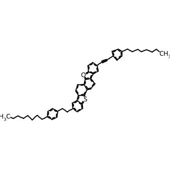 CCCCCCCCc1ccc(C#Cc2ccc3oc4c(ccc5c4ccc4c6cc(CCc7ccc(CCCCCCCC)cc7)ccc6sc45)c3c2)cc1